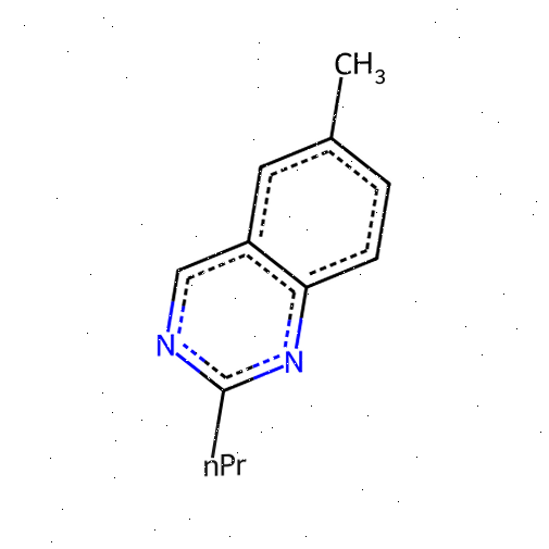 CCCc1ncc2cc(C)ccc2n1